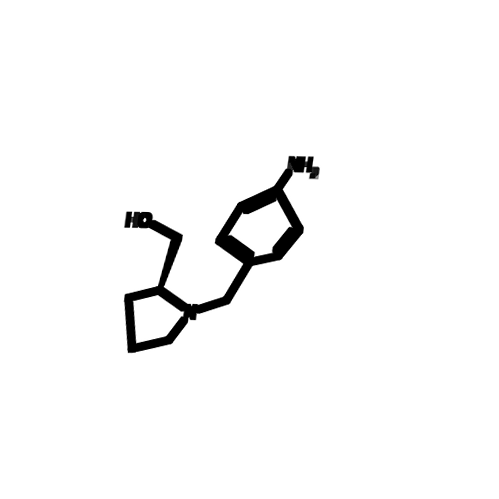 Nc1ccc(CN2CCC[C@H]2CO)cc1